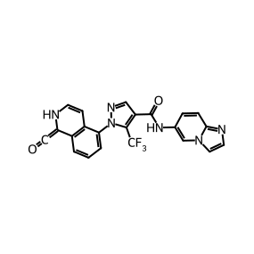 O=C=C1NC=Cc2c1cccc2-n1ncc(C(=O)Nc2ccc3nccn3c2)c1C(F)(F)F